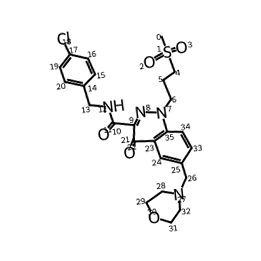 CS(=O)(=O)CCCn1nc(C(=O)NCc2ccc(Cl)cc2)c(=O)c2cc(CN3CCOCC3)ccc21